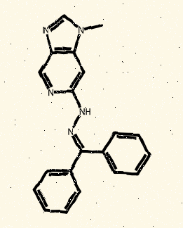 Cn1cnc2cnc(NN=C(c3ccccc3)c3ccccc3)cc21